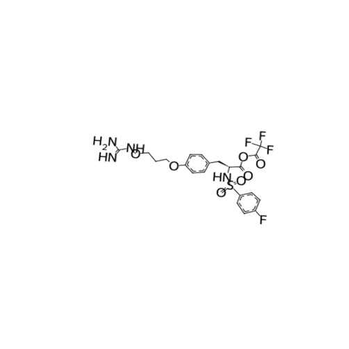 N=C(N)NOCCCOc1ccc(C[C@H](NS(=O)(=O)c2ccc(F)cc2)C(=O)OC(=O)C(F)(F)F)cc1